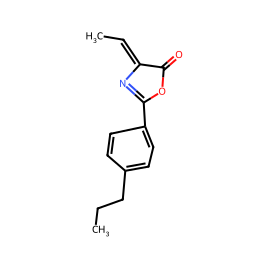 C/C=C1\N=C(c2ccc(CCC)cc2)OC1=O